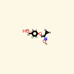 CO/N=C(\COc1ccc(CO)cc1)C1CC1